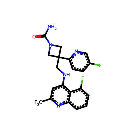 NC(=O)N1CC(CNc2cc(C(F)(F)F)nc3cccc(F)c23)(c2ccc(F)cn2)C1